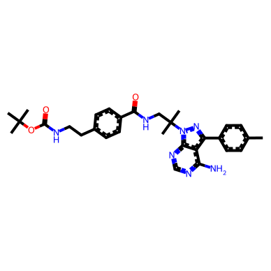 Cc1ccc(-c2nn(C(C)(C)CNC(=O)c3ccc(CCNC(=O)OC(C)(C)C)cc3)c3ncnc(N)c23)cc1